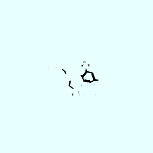 CCCCCCCCCCCCCC[P+](CCCCCC)(CCCCCC)CCCCCC.O=S(=O)([O-])c1cc(O)ccc1O